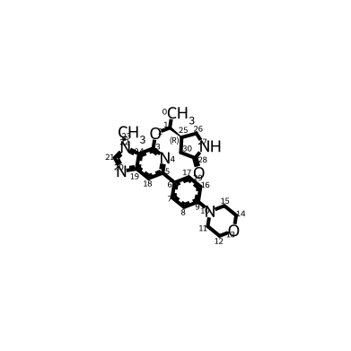 CC(Oc1nc(-c2ccc(N3CCOCC3)cc2)cc2ncn(C)c12)[C@H]1CNC(=O)C1